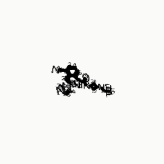 N#Cc1cccc2c(C(=O)N[C@H]3C[C@H](NCC(F)(F)F)C3)nc(-n3ccnc3)cc12